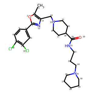 Cc1oc(-c2ccc(Cl)c(Cl)c2)nc1CN1CCC(C(=O)NCCCN2CCCCC2)CC1